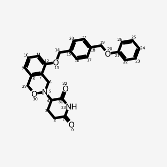 O=C1CCC(N2Cc3c(cccc3OCc3ccc(COc4ccccc4)cc3)CO2)C(=O)N1